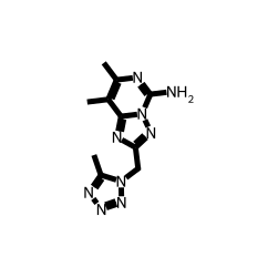 Cc1nc(N)n2nc(Cn3nnnc3C)nc2c1C